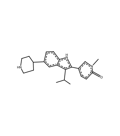 CC(C)c1c(-c2ccc(=O)n(C)c2)[nH]c2ccc(C3CCNCC3)cc12